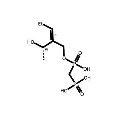 CC/C=C(/COP(=O)(O)CP(=O)(O)O)[C@H](C)O